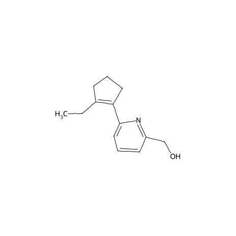 CCC1=C(c2cccc(CO)n2)CCC1